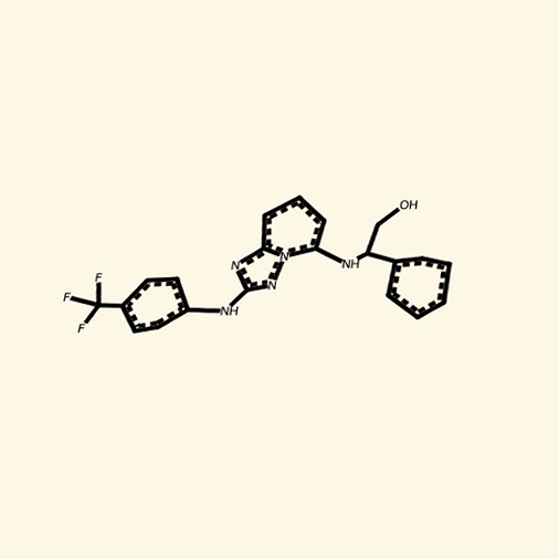 OCC(Nc1cccc2nc(Nc3ccc(C(F)(F)F)cc3)nn12)c1ccccc1